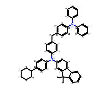 CC1(C)c2ccccc2-c2ccc(N(c3ccc(Cc4ccc(N(c5ccccc5)c5ccccc5)cc4)cc3)c3ccc(C4CCCCC4)cc3)cc21